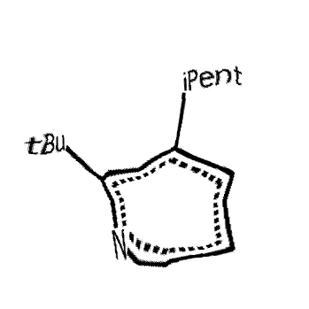 CCCC(C)c1cccnc1C(C)(C)C